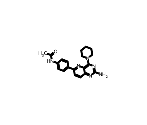 CC(=O)Nc1ccc(-c2ccc3nc(N)nc(N4CCCCC4)c3n2)cc1